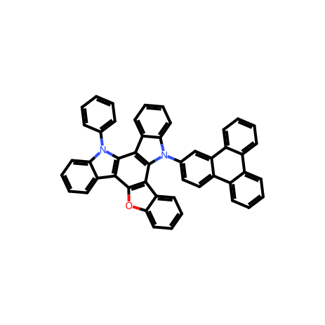 c1ccc(-n2c3ccccc3c3c4oc5ccccc5c4c4c(c5ccccc5n4-c4ccc5c6ccccc6c6ccccc6c5c4)c32)cc1